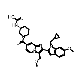 COCc1c(-c2cc3ccc(OC)cc3n2CC2CC2)nc2cc(C(=O)N3CCC[C@@H](NC(=O)O)C3)ccn12